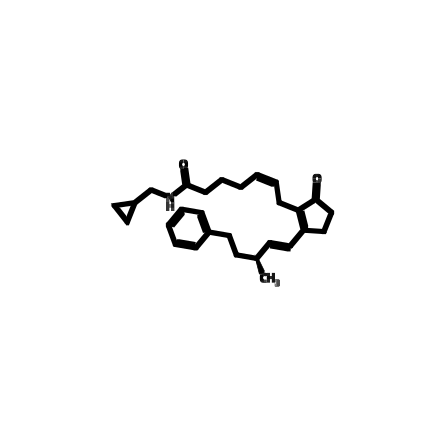 C[C@H](/C=C/C1=C(C/C=C\CCCC(=O)NCC2CC2)C(=O)CC1)CCc1ccccc1